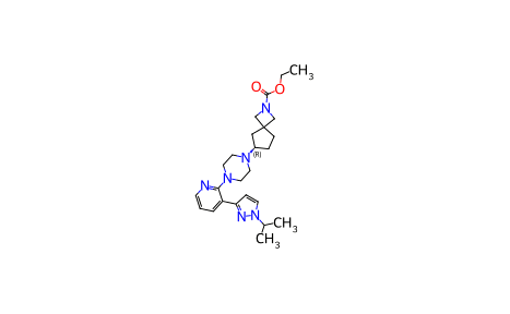 CCOC(=O)N1CC2(CC[C@@H](N3CCN(c4ncccc4-c4ccn(C(C)C)n4)CC3)C2)C1